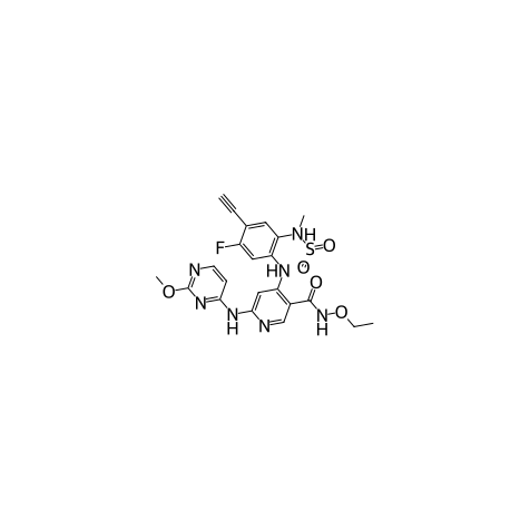 C#Cc1cc(N(C)[SH](=O)=O)c(Nc2cc(Nc3ccnc(OC)n3)ncc2C(=O)NOCC)cc1F